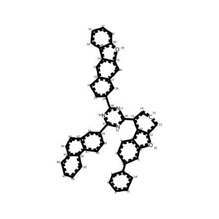 c1ccc(-c2ccc3c(c2)oc2cccc(-c4nc(-c5ccc6cc7c(cc6c5)oc5ccccc57)nc(-c5ccc6c(ccc7ccccc76)c5)n4)c23)cc1